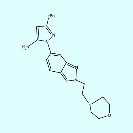 CC(C)(C)c1cc(N)n(-c2ccc3cn(CCN4CCOCC4)nc3c2)n1